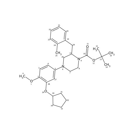 COc1ccc(N2CCN(C(=O)OC(C)(C)C)C(Cc3ccccc3C)C2)cc1OC1CCCC1